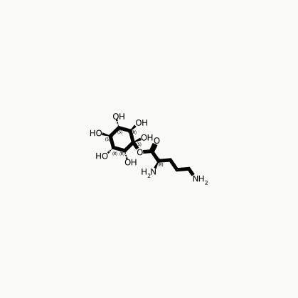 NCCC[C@@H](N)C(=O)O[C@]1(O)[C@H](O)[C@H](O)[C@@H](O)[C@H](O)[C@H]1O